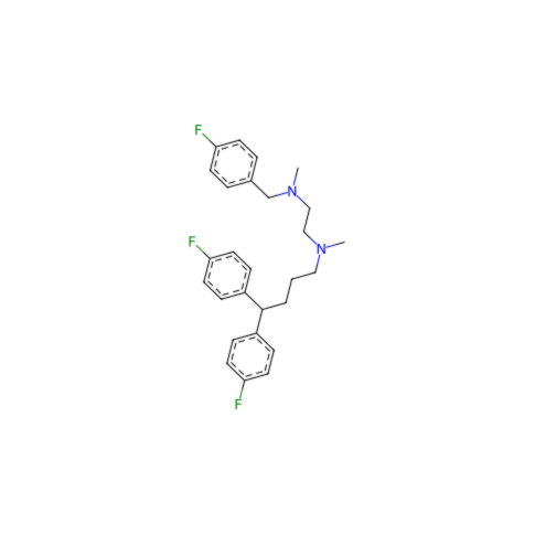 CN(CCCC(c1ccc(F)cc1)c1ccc(F)cc1)CCN(C)Cc1ccc(F)cc1